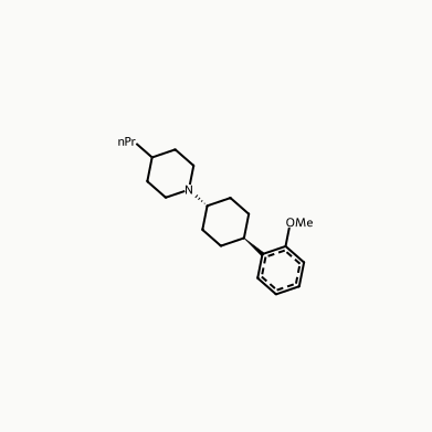 CCCC1CCN([C@H]2CC[C@H](c3ccccc3OC)CC2)CC1